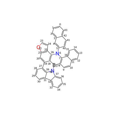 c1ccc2cc(N3c4c(ccc5ccccc45)B4c5c(cc6occc6c53)-c3cccc5c6ccccc6n4c35)ccc2c1